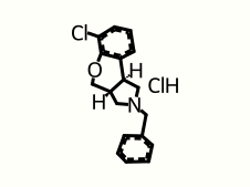 Cl.Clc1cccc2c1OC[C@H]1CN(Cc3ccccc3)C[C@H]21